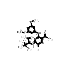 COc1cc(Nc2nc(NC(C(N)=O)C(C)(C)C)c(F)cc2C(N)=O)cc(OC)c1